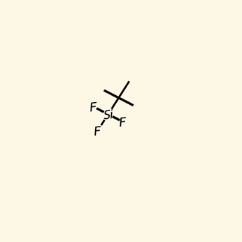 CC(C)(C)[Si](F)(F)F